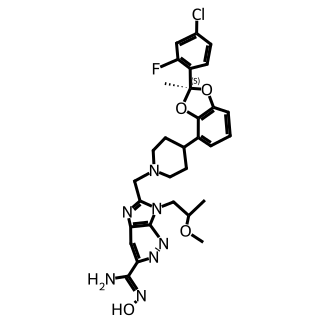 COC(C)Cn1c(CN2CCC(c3cccc4c3O[C@@](C)(c3ccc(Cl)cc3F)O4)CC2)nc2cc(C(N)=NO)nnc21